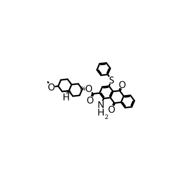 COC1CCC2C[C@H](OC(=O)c3cc(Sc4ccccc4)c4c(c3N)C(=O)c3ccccc3C4=O)CC[C@@H]2C1